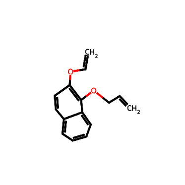 C=CCOc1c(OC=C)ccc2ccccc12